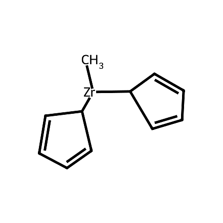 [CH3][Zr]([CH]1C=CC=C1)[CH]1C=CC=C1